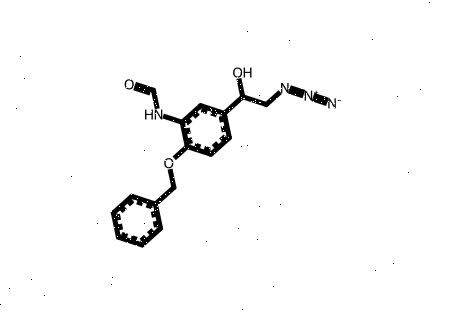 [N-]=[N+]=NCC(O)c1ccc(OCc2ccccc2)c(NC=O)c1